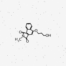 CN1C(=O)c2cc(OCCCO)c3ccccc3c2C1=O